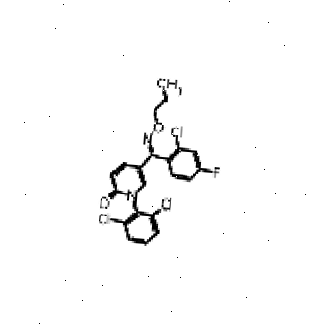 CCCON=C(c1ccc(=O)n(-c2c(Cl)cccc2Cl)c1)c1ccc(F)cc1Cl